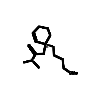 COCCCC[C@]1(CC(=O)N(C)C)C=CCCC1